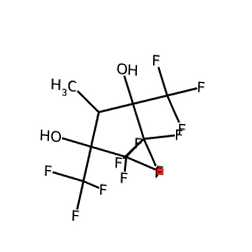 CC(C(O)(C(F)(F)F)C(F)(F)F)C(O)(C(F)(F)F)C(F)(F)F